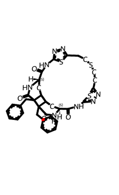 O=C1Nc2nnc(s2)CCSCCc2nnc(s2)NC(=O)[C@@H]2CC3C4C[C@@H]1NC(=O)C4(Cc1ccccc1)C3(Cc1ccccc1)C(=O)N2